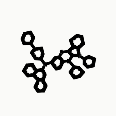 c1ccc(-c2ccc(N(c3ccc4c(c3)Sc3c(n(-c5ccccc5)c5ccccc35)N4c3ccccc3)c3cc4ccccc4c4ccccc34)cc2)cc1